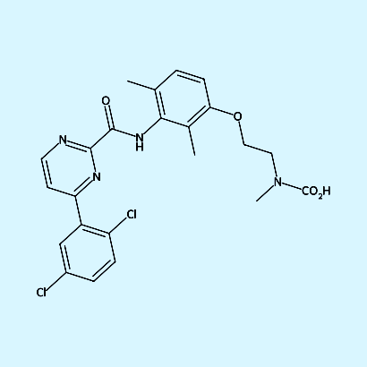 Cc1ccc(OCCN(C)C(=O)O)c(C)c1NC(=O)c1nccc(-c2cc(Cl)ccc2Cl)n1